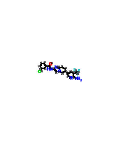 Nc1ncc(-c2ccc3nc(NC(=O)c4cccc(Cl)c4)cn3c2)cc1C(F)(F)F